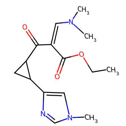 CCOC(=O)C(=CN(C)C)C(=O)C1CC1c1cn(C)cn1